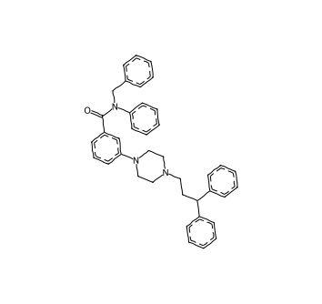 O=C(c1cccc(N2CCN(CCC(c3ccccc3)c3ccccc3)CC2)c1)N(Cc1ccccc1)c1ccccc1